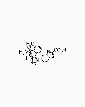 NS(=O)(=O)c1c(C(F)(F)F)ccc(C2CCCc3sc(C(=O)O)nc32)c1-c1nnn[nH]1